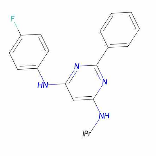 CC(C)Nc1cc(Nc2ccc(F)cc2)nc(-c2ccccc2)n1